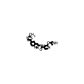 Cc1nnc(-c2ccc3nnc(NC(=O)c4ccnc(OC5CNC5)c4)cc3c2)s1